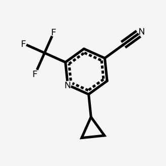 N#Cc1cc(C2CC2)nc(C(F)(F)F)c1